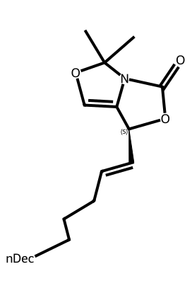 CCCCCCCCCCCCCC=C[C@@H]1OC(=O)N2C1=COC2(C)C